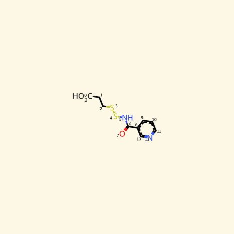 O=C(O)CCSSNC(=O)c1cccnc1